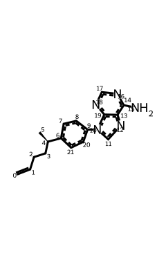 C=CCC[C@@H](C)c1ccc(-n2cnc3c(N)ncnc32)cc1